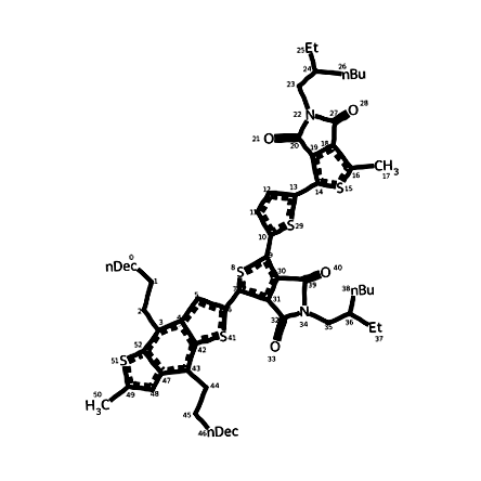 CCCCCCCCCCCCc1c2cc(-c3sc(-c4ccc(-c5sc(C)c6c5C(=O)N(CC(CC)CCCC)C6=O)s4)c4c3C(=O)N(CC(CC)CCCC)C4=O)sc2c(CCCCCCCCCCCC)c2cc(C)sc12